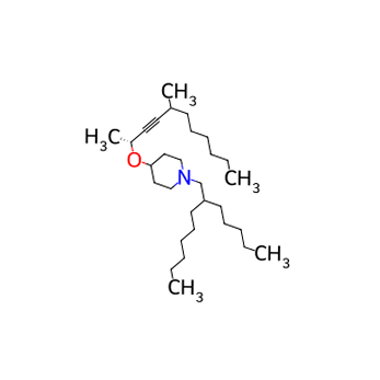 CCCCCCC(C)C#C[C@@H](C)OC1CCN(CC(CCCCC)CCCCCC)CC1